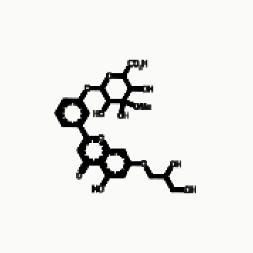 COC1(O)C(O)C(Oc2cccc(-c3cc(=O)c4c(O)cc(OCC(O)CO)cc4o3)c2)OC(C(=O)O)C1O